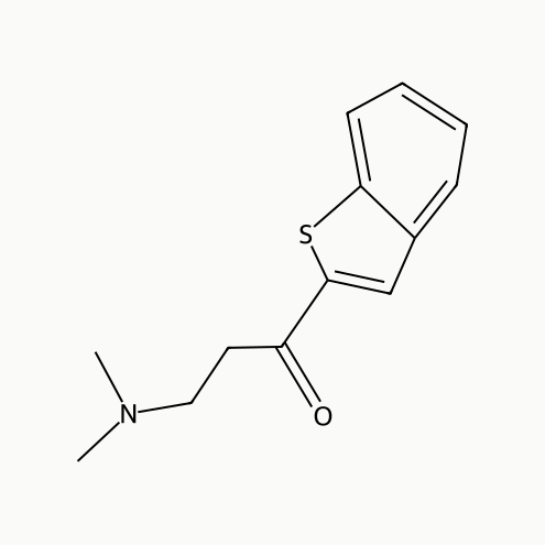 CN(C)CCC(=O)c1cc2ccccc2s1